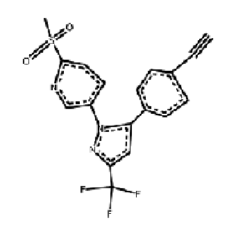 C#Cc1ccc(-c2cc(C(F)(F)F)nn2-c2ccc(S(C)(=O)=O)nc2)cc1